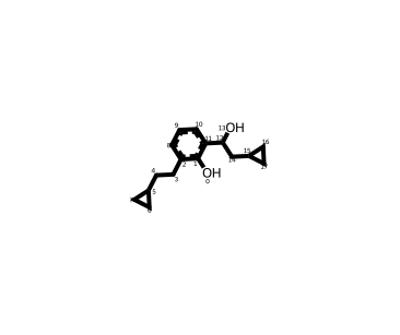 Oc1c(CCC2CC2)cccc1C(O)CC1CC1